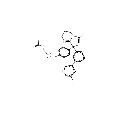 COc1cncc(-c2cccc(C3(c4ccc(OS(=O)(=O)COC(C)=O)cc4)N=C(N)N4CCCN=C43)c2)c1